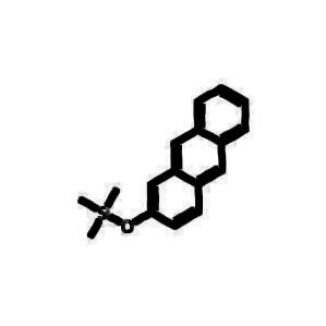 C[Si](C)(C)Oc1ccc2cc3ccccc3cc2c1